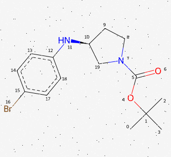 CC(C)(C)OC(=O)N1CC[C@H](Nc2ccc(Br)cc2)C1